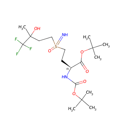 CC(C)(C)OC(=O)N[C@@H](CCS(=N)(=O)CCC(C)(O)C(F)(F)F)C(=O)OC(C)(C)C